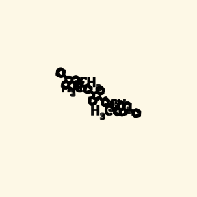 C[Si](C)(c1ccc(-c2c3ccccc3c(-c3ccc([Si](C)(C)c4ccc5cc(-c6ccccc6)c6cccc7ccc4c5c76)cc3)c3ccccc23)cc1)c1ccc2c3c4c(ccc13)C=CC(c1ccccc1)C4=CC2